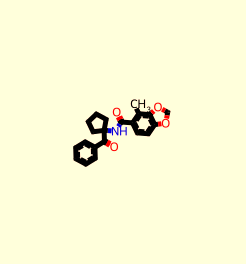 Cc1c(C(=O)NC2(C(=O)c3ccccc3)CCCC2)ccc2c1OCO2